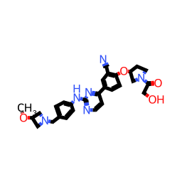 COC1CN(Cc2ccc(Nc3nccc(-c4ccc(OC5CCN(C(=O)CO)C5)c(C#N)c4)n3)cc2)C1